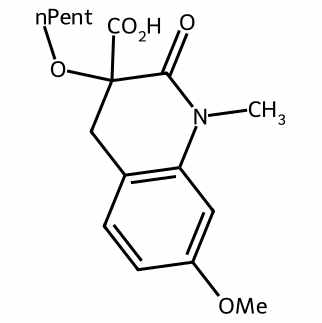 CCCCCOC1(C(=O)O)Cc2ccc(OC)cc2N(C)C1=O